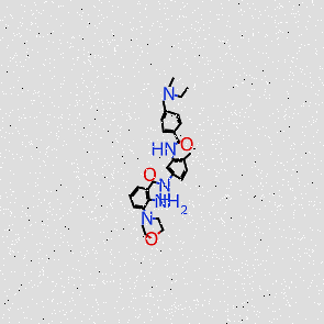 CCN(CC)Cc1ccc(C(=O)Nc2cc(NC(=O)c3cccc(N4CCOCC4)c3N)ccc2C)cc1